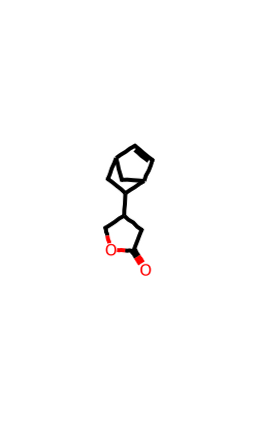 O=C1CC(C2CC3C=CC2C3)CO1